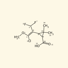 COC(Cl)=C(C(F)F)C1C(C(=O)O)C1(C)C